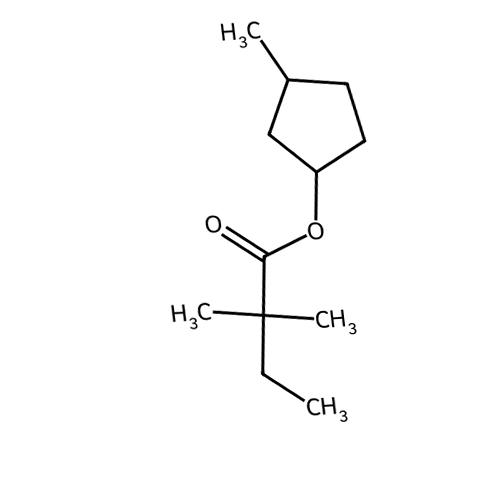 CCC(C)(C)C(=O)OC1CCC(C)C1